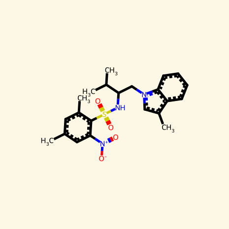 Cc1cc(C)c(S(=O)(=O)NC(Cn2cc(C)c3ccccc32)C(C)C)c([N+](=O)[O-])c1